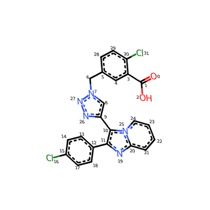 O=C(O)c1cc(Cn2cc(-c3c(-c4ccc(Cl)cc4)nc4ccccn34)nn2)ccc1Cl